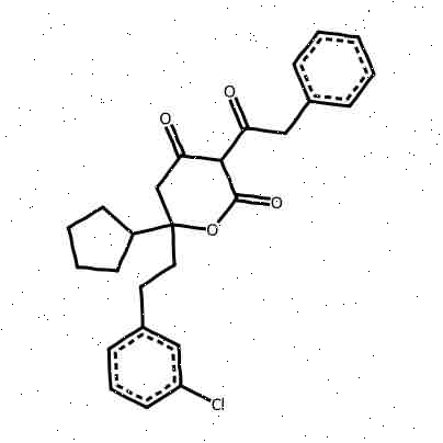 O=C(Cc1ccccc1)C1C(=O)CC(CCc2cccc(Cl)c2)(C2CCCC2)OC1=O